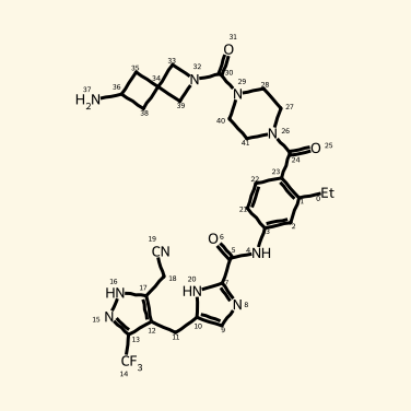 CCc1cc(NC(=O)c2ncc(Cc3c(C(F)(F)F)n[nH]c3CC#N)[nH]2)ccc1C(=O)N1CCN(C(=O)N2CC3(CC(N)C3)C2)CC1